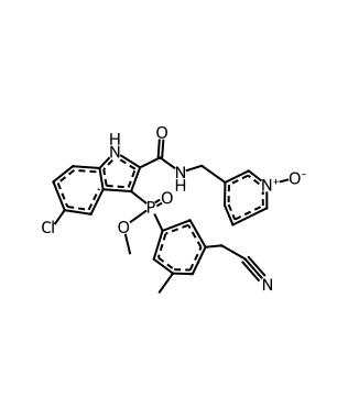 COP(=O)(c1cc(C)cc(CC#N)c1)c1c(C(=O)NCc2ccc[n+]([O-])c2)[nH]c2ccc(Cl)cc12